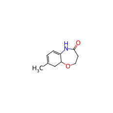 CC1=CC=C2NC(=O)CCOC2C1